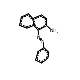 Nc1ccc2ccccc2c1/N=N/c1ccccc1